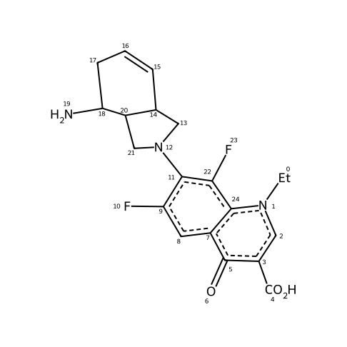 CCn1cc(C(=O)O)c(=O)c2cc(F)c(N3CC4C=CCC(N)C4C3)c(F)c21